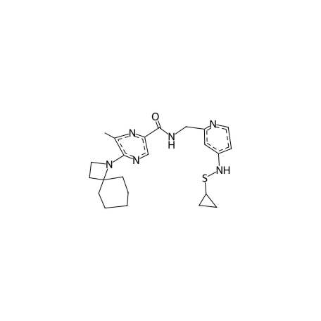 Cc1nc(C(=O)NCc2cc(NSC3CC3)ccn2)cnc1N1CCC12CCCCC2